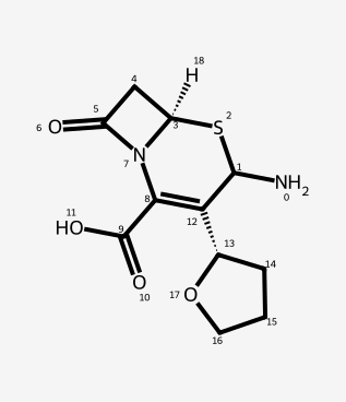 NC1S[C@@H]2CC(=O)N2C(C(=O)O)=C1[C@@H]1CCCO1